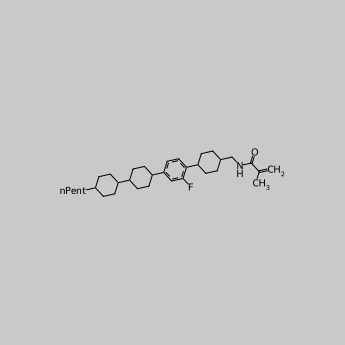 C=C(C)C(=O)NCC1CCC(c2ccc(C3CCC(C4CCC(CCCCC)CC4)CC3)cc2F)CC1